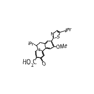 COc1cc2c(cc1-c1ncc(C(C)C)s1)CC(C(C)C)n1cc(C(=O)O)c(=O)cc1-2